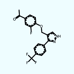 CC(=O)c1ccc(OCc2c[nH]nc2-c2ccc(C(F)(F)F)cc2)c(F)c1